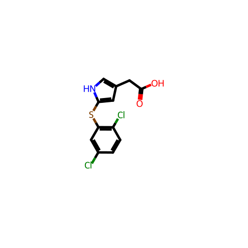 O=C(O)Cc1c[nH]c(Sc2cc(Cl)ccc2Cl)c1